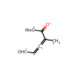 COC(=O)C(C)=C=CC=O